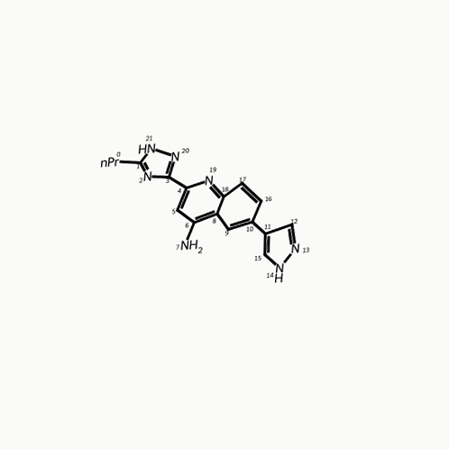 CCCc1nc(-c2cc(N)c3cc(-c4cn[nH]c4)ccc3n2)n[nH]1